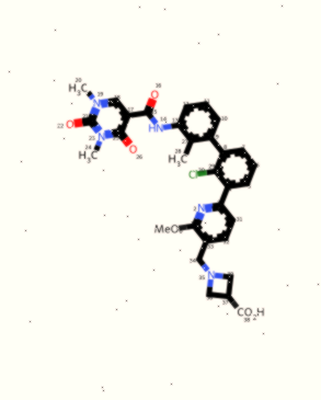 COc1nc(-c2cccc(-c3cccc(NC(=O)c4cn(C)c(=O)n(C)c4=O)c3C)c2Cl)ccc1CN1CC(C(=O)O)C1